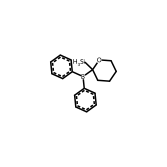 [SiH3]C1(B(c2ccccc2)c2ccccc2)CCCCO1